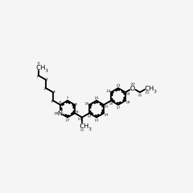 CCCCCCc1ccc(C(C)c2ccc(-c3ccc(OCC)cc3)cc2)cn1